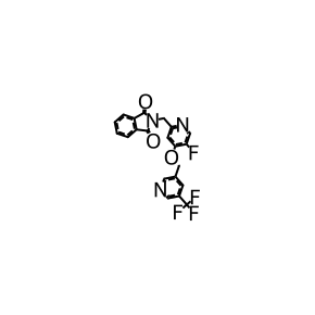 O=C1c2ccccc2C(=O)N1Cc1cc(OCc2cncc(C(F)(F)F)c2)c(F)cn1